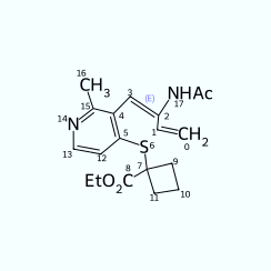 C=C/C(=C\c1c(SC2(C(=O)OCC)CCC2)ccnc1C)NC(C)=O